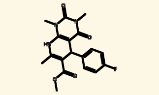 COC(=O)C1=C(C)Nc2c(c(=O)n(C)c(=O)n2C)C1c1ccc(F)cc1